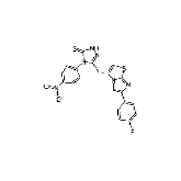 O=[N+]([O-])c1ccc(-n2c(Cc3csc4nc(-c5ccc(F)cc5)cn34)n[nH]c2=S)cc1